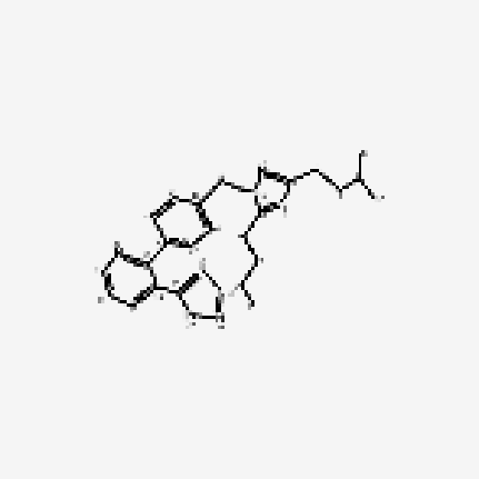 CCCCc1nc(CCC(C)C)nn1Cc1ccc(-c2ncccc2-c2nnn[nH]2)cc1